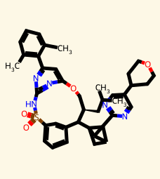 Cc1cccc(C)c1-c1cc2nc(n1)NS(=O)(=O)c1cccc(c1)C(C13CC(C1)C3c1ncc(C3CCOCC3)cn1)[C@H](CC(C)C)CO2